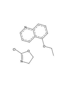 CCOc1cccc2ncccc12.ClC1=NCCO1